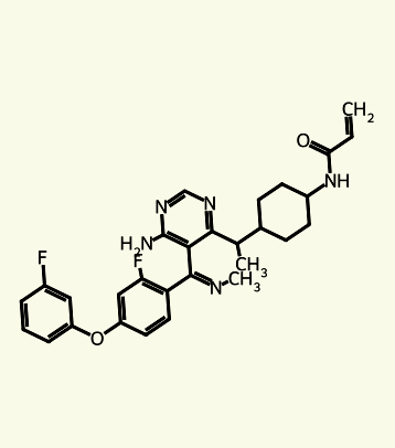 C=CC(=O)NC1CCC(C(C)c2ncnc(N)c2/C(=N\C)c2ccc(Oc3cccc(F)c3)cc2F)CC1